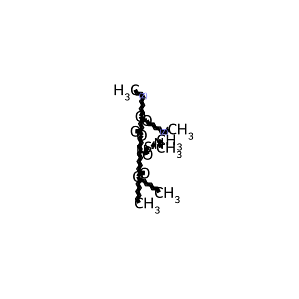 CC/C=C\CCCCOC(CCC(=O)OCCCN(CCCCCC(=O)OC(CCCCCC)CCCCCC)C(=O)SCCN(C)C)OCCCC/C=C\CC